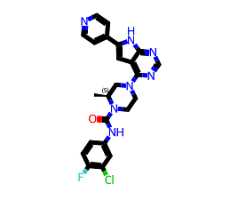 C[C@H]1CN(c2ncnc3[nH]c(-c4ccncc4)cc23)CCN1C(=O)Nc1ccc(F)c(Cl)c1